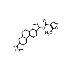 Cc1occc1C(=O)OC1CCC2C1=CC=C1C3=CC4CNNC4CC3CCC12